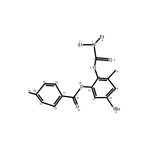 CCN(CC)C(=O)Oc1c(C)cc(C(C)(C)C)cc1OC(=O)c1ccc(C)cc1